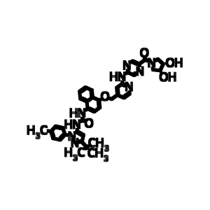 Cc1ccc(-n2nc(C(C)(C)C)cc2NC(=O)Nc2ccc(OCc3ccnc(Nc4cnc(C(=O)N5C[C@H](O)[C@@H](O)C5)cn4)c3)c3ccccc23)cc1